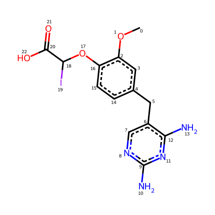 COc1cc(Cc2cnc(N)nc2N)ccc1OC(I)C(=O)O